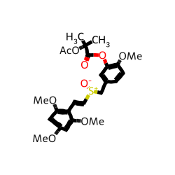 COc1cc(OC)c(C=C[S+]([O-])Cc2ccc(OC)c(OC(=O)C(C)(C)OC(C)=O)c2)c(OC)c1